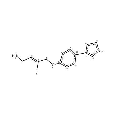 NCC=C(F)COc1ccc(-n2ccnc2)cc1